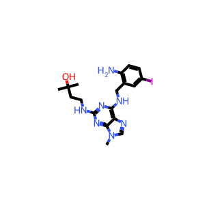 Cn1cnc2c(NCc3cc(I)ccc3N)nc(NCCC(C)(C)O)nc21